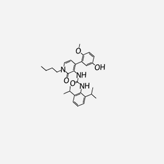 CCCCn1ccc(-c2cc(O)ccc2OC)c(NC(=O)Nc2c(C(C)C)cccc2C(C)C)c1=O